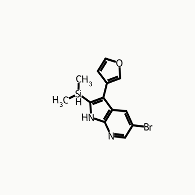 C[SiH](C)c1[nH]c2ncc(Br)cc2c1-c1ccoc1